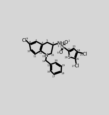 O=S(=O)(NC1Cc2cc(Cl)ccc2N(Cc2ccccc2)C1)c1cc(Cl)c(Cl)s1